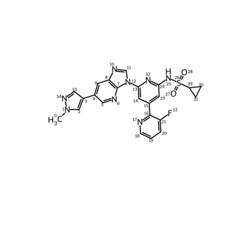 Cn1cc(-c2cnc3c(c2)ncn3-c2cc(-c3ncccc3F)cc(NS(=O)(=O)C3CC3)n2)cn1